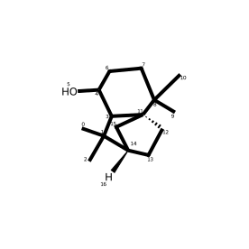 CC1(C)C2C(O)CCC(C)(C)[C@]23CC[C@H]1C3